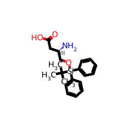 CC(C)(C)[Si](OC[C@@H](N)CC(=O)O)(c1ccccc1)c1ccccc1